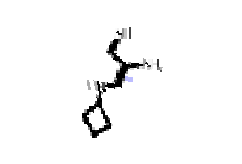 N=C/C(N)=C\NC1CCC1